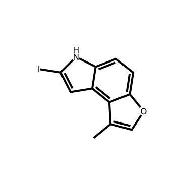 Cc1coc2ccc3[nH]c(I)cc3c12